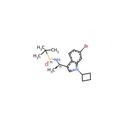 C[C@@H](N[S@@+]([O-])C(C)(C)C)c1cn(C2CCC2)c2cc(Br)ccc12